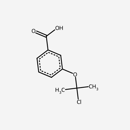 CC(C)(Cl)Oc1cccc(C(=O)O)c1